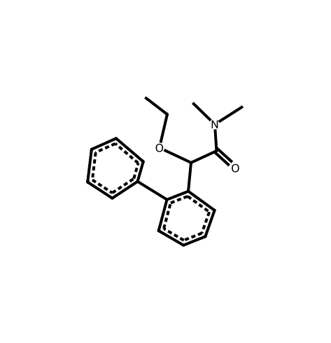 CCOC(C(=O)N(C)C)c1ccccc1-c1ccccc1